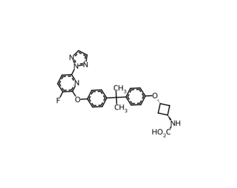 CC(C)(c1ccc(Oc2nc(-n3nccn3)ccc2F)cc1)c1ccc(O[C@H]2C[C@H](NC(=O)O)C2)cc1